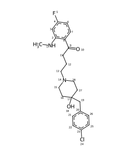 CNc1cc(F)ccc1C(=O)CCCN1CCC(O)(Cc2ccc(Cl)cc2)CC1